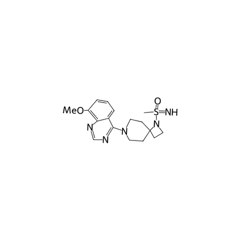 COc1cccc2c(N3CCC4(CC3)CCN4S(C)(=N)=O)ncnc12